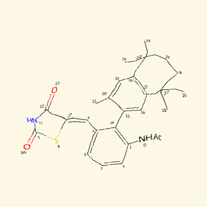 CC(=O)Nc1cccc(C=C2SC(=O)NC2=O)c1-c1cc2c(cc1C)C(C)(C)CCC2(C)C